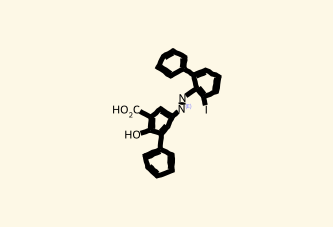 O=C(O)c1cc(/N=N/c2c(I)cccc2-c2ccccc2)cc(-c2ccccc2)c1O